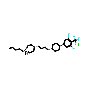 CCCCC[Si@H]1CC[C@H](CCCC[C@H]2CC[C@H](c3cc(F)c(C(F)(F)Cl)c(F)c3)CC2)CC1